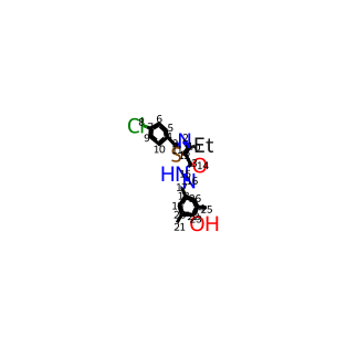 CCc1nc(-c2ccc(Cl)cc2)sc1C(=O)N/N=C/c1cc(C)c(O)c(C)c1